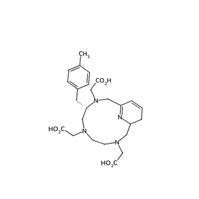 Cc1ccc(C[C@H]2CN(CC(=O)O)CCN(CC(=O)O)CC3CC=CC(=N3)CN2CC(=O)O)cc1